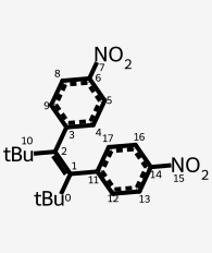 CC(C)(C)C(=C(c1ccc([N+](=O)[O-])cc1)C(C)(C)C)c1ccc([N+](=O)[O-])cc1